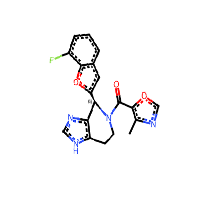 Cc1ncoc1C(=O)N1CCc2[nH]cnc2[C@H]1c1cc2cccc(F)c2o1